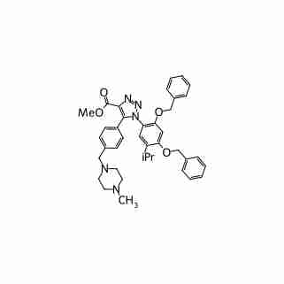 COC(=O)c1nnn(-c2cc(C(C)C)c(OCc3ccccc3)cc2OCc2ccccc2)c1-c1ccc(CN2CCN(C)CC2)cc1